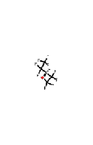 O=P(F)(C(F)(F)C(F)(F)F)C(F)(F)C(F)(F)F